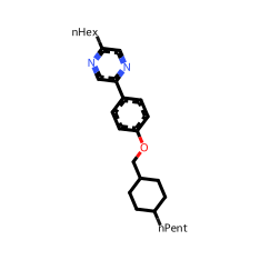 CCCCCCc1cnc(-c2ccc(OCC3CCC(CCCCC)CC3)cc2)cn1